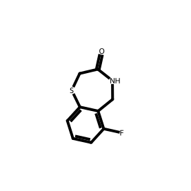 O=C1CSc2cccc(F)c2CN1